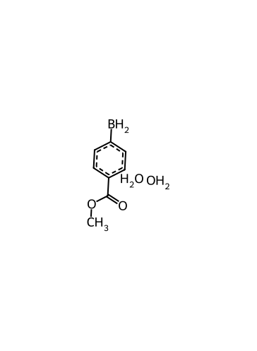 Bc1ccc(C(=O)OC)cc1.O.O